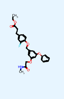 CCOC(=O)CCc1ccc(OCc2cc(OCC(=O)NC)cc(Oc3ccccc3)c2)c(F)c1